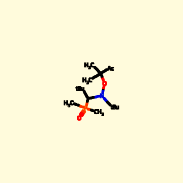 CC(=O)C(C)(C)ON(C(C(C)(C)C)P(C)(C)=O)C(C)(C)C